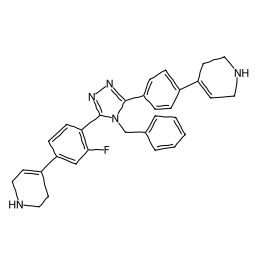 Fc1cc(C2=CCNCC2)ccc1-c1nnc(-c2ccc(C3=CCNCC3)cc2)n1Cc1ccccc1